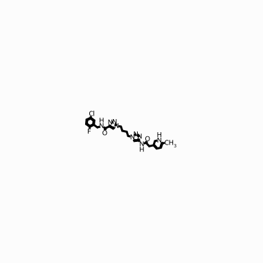 CC1=CC=C(CC(=O)Nc2cn(CCCCn3cc(C(=O)NCc4cc(Cl)ccc4F)nn3)nn2)CN1